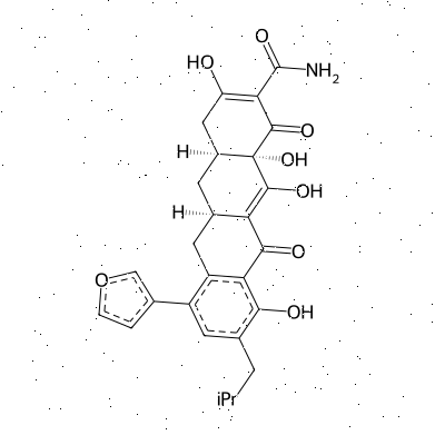 CC(C)Cc1cc(-c2ccoc2)c2c(c1O)C(=O)C1=C(O)[C@]3(O)C(=O)C(C(N)=O)=C(O)C[C@@H]3C[C@@H]1C2